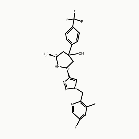 C[C@H]1CC(O)(c2ccc(C(F)(F)F)cc2)C[C@@H](c2cn(Cc3ncc(F)cc3F)nn2)N1